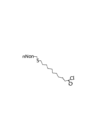 CCCCCCCCCCSCCCCCCCCCCC(=O)Cl